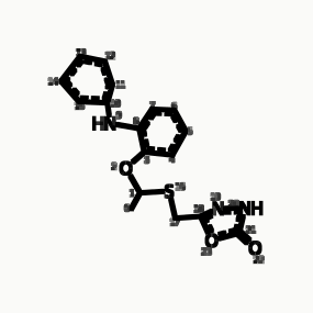 CC(Oc1ccccc1Nc1ccccc1)SCc1n[nH]c(=O)o1